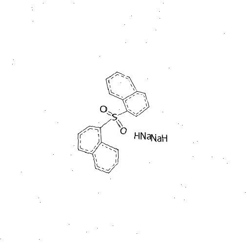 O=S(=O)(c1cccc2ccccc12)c1cccc2ccccc12.[NaH].[NaH]